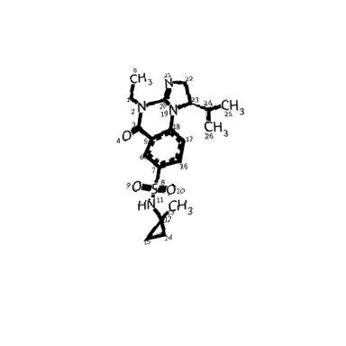 CCN1C(=O)c2cc(S(=O)(=O)NC3(C)CC3)ccc2N2C1=NC[C@H]2C(C)C